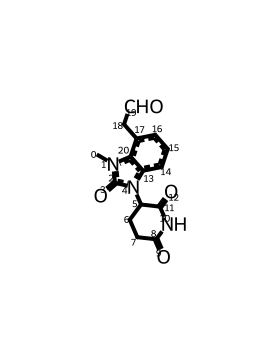 Cn1c(=O)n(C2CCC(=O)NC2=O)c2cccc(CC=O)c21